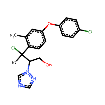 CCC(Cl)(c1ccc(Oc2ccc(Cl)cc2)cc1C(F)(F)F)C(CO)n1cncn1